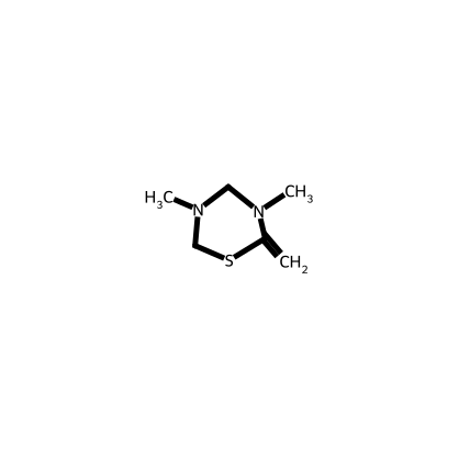 C=C1SCN(C)CN1C